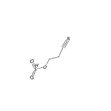 N#CCCO[SH](=O)=O